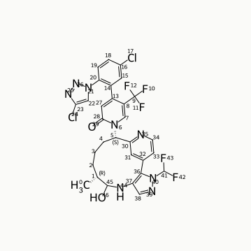 C[C@@H]1CCC[C@H](n2cc(C(F)(F)F)c(-c3cc(Cl)ccc3-n3cc(Cl)nn3)cc2=O)c2cc(ccn2)-c2c(cnn2C(F)F)NC1O